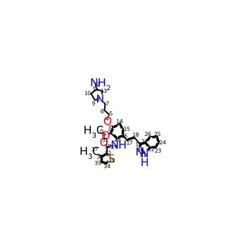 COc1c(OCCCN2CC[C@@H](N)C2)ccc(/C=C/c2n[nH]c3ccccc23)c1NC(=O)c1sccc1C